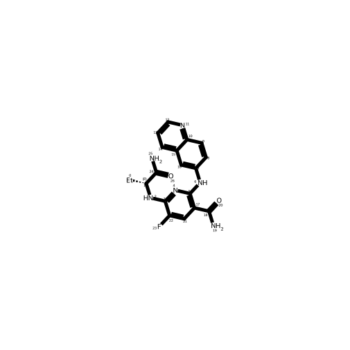 CC[C@@H](Nc1nc(Nc2ccc3ncccc3c2)c(C(N)=O)cc1F)C(N)=O